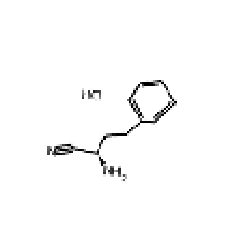 Cl.N#C[C@H](N)CCc1ccccc1